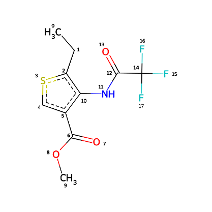 CCc1scc(C(=O)OC)c1NC(=O)C(F)(F)F